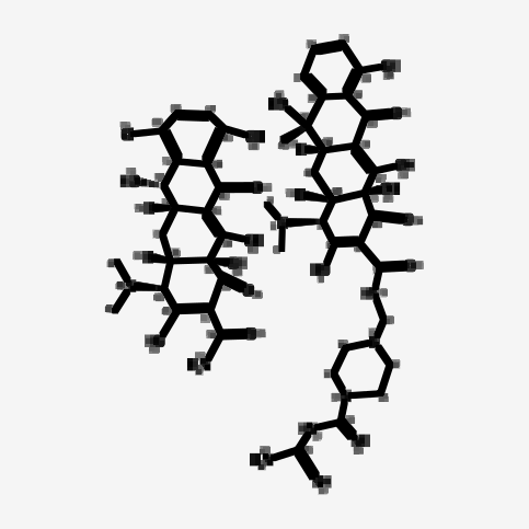 CN(C)[C@@H]1C(O)=C(C(=O)NCN2CCN(C(=N)NC(=N)N)CC2)C(=O)[C@@]2(O)C(O)=C3C(=O)c4c(O)cccc4[C@@](C)(O)[C@H]3C[C@@H]12.CN(C)[C@@H]1C(O)=C(C(N)=O)C(=O)[C@@]2(O)C(O)=C3C(=O)c4c(O)ccc(Cl)c4[C@@H](O)[C@H]3C[C@@H]12